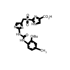 Cc1ccc(NC(=O)Nc2ncc(CS(=O)(=O)c3nc(C(=O)O)c[nH]3)s2)c(OCC(C)C)c1